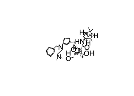 CC1[C@@H](NC(=O)[C@@H]2[C@H]([C@H](C)O)[C@H](CO)ON2Cc2cccc(N(CCN(C)C)Cc3ccccc3)c2)C[C@H]2C[C@@H]1C2(C)C